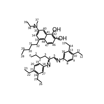 CCCCC(C=Nc1ccc(CC)c(CC)c1)=Nc1ccc(CC)c(CC)c1.CCCCCc1cc(N(C)CC)cc2c(O)c(O)ccc12